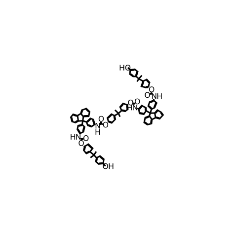 CC(C)(c1ccc(O)cc1)c1ccc(OC(=O)Nc2ccc(C3(c4ccc(NC(=O)Oc5ccc(C(C)(C)c6ccc(OC(=O)Nc7ccc(C8(c9ccc(NC(=O)Oc%10ccc(C(C)(C)c%11ccc(O)cc%11)cc%10)cc9)c9ccccc9-c9ccccc98)cc7)cc6)cc5)cc4)c4ccccc4-c4ccccc43)cc2)cc1